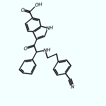 N#Cc1ccc(CCNC(C(=O)c2c[nH]c3cc(C(=O)O)ccc23)c2ccccc2)cc1